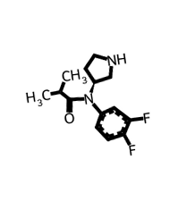 CC(C)C(=O)N(c1ccc(F)c(F)c1)[C@H]1CCNC1